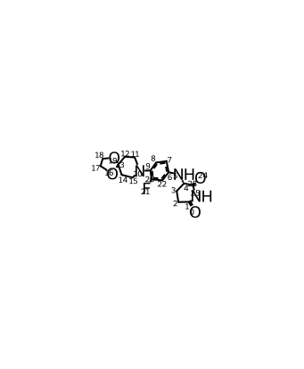 O=C1CC[C@@H](Nc2ccc(N3CCC4(CC3)OCCO4)c(F)c2)C(=O)N1